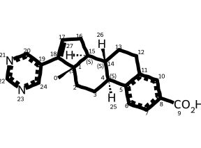 C[C@]12CC[C@@H]3c4ccc(C(=O)O)cc4CC[C@H]3[C@@H]1CC=C2c1cncnc1